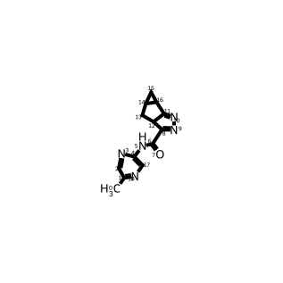 Cc1cnc(NC(=O)C2=NN=C3C2CC2CC32)cn1